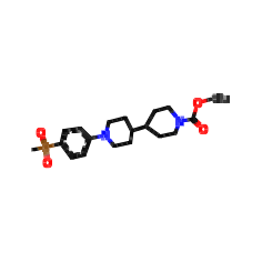 CC(C)(C)OC(=O)N1CCC(C2CCN(c3ccc(S(C)(=O)=O)cc3)CC2)CC1